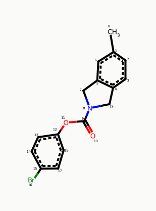 Cc1ccc2c(c1)CN(C(=O)Oc1ccc(Br)cc1)C2